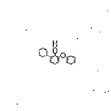 Oc1c(Oc2ccccc2)cccc1-c1ccccc1